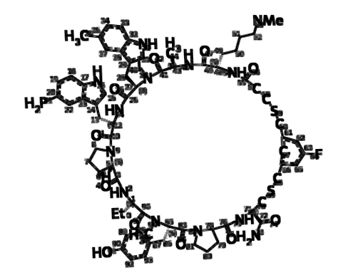 CC[C@@H]1NC(=O)[C@@H]2CCCN2C(=O)[C@H](Cc2c[nH]c3ccc(P)cc23)NC(=O)[C@@H](Cc2c[nH]c3ccc(C)cc23)N(I)C(=O)[C@@H](C)NC(=O)[C@H](CCCCNC)NC(=O)CCSCc2cc(F)cc(c2)CSC[C@@H](C(N)=O)NC(=O)C2CCCN2C(=O)[C@H](Cc2ccc(O)cc2)N(C)C1=O